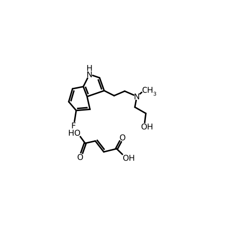 CN(CCO)CCc1c[nH]c2ccc(F)cc12.O=C(O)/C=C/C(=O)O